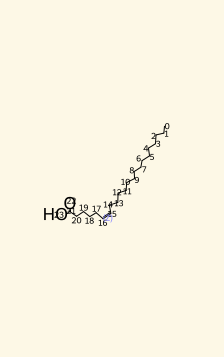 CCCCCCCCCCCCCCC/C=C\CCCCC(=O)O